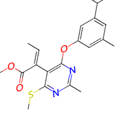 CC=C(C(=O)OC)c1c(Oc2cc(C)cc(C(C)C)c2)nc(C)nc1SC